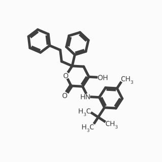 Cc1ccc(C(C)(C)C)c(NC2=C(O)CC(CCc3ccccc3)(c3ccccc3)OC2=O)c1